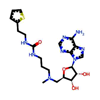 CN(CCCNC(=O)NCCc1cccs1)C[C@H]1O[C@@H](n2cnc3c(N)ncnc32)[C@H](O)[C@@H]1O